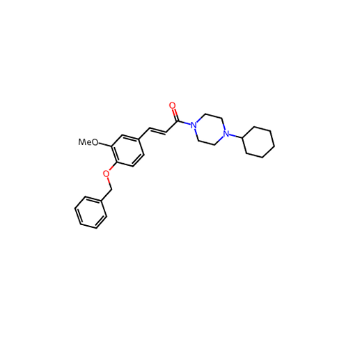 COc1cc(C=CC(=O)N2CCN(C3CCCCC3)CC2)ccc1OCc1ccccc1